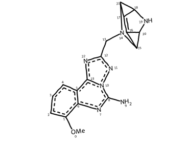 COc1cccc2c1nc(N)n1nc(CN3C4C5=C6C(NC54)C63)nc21